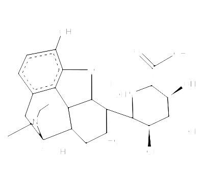 CN1CC[C@]23c4c5ccc(O)c4O[C@H]2[C@@](O)([C@@]2(O)O[C@H](C(=O)O)[C@@H](O)[C@H](O)[C@H]2O)CC[C@H]3[C@H]1C5